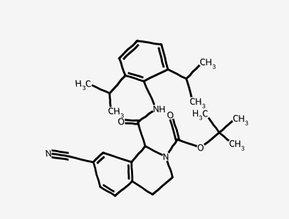 CC(C)c1cccc(C(C)C)c1NC(=O)C1c2cc(C#N)ccc2CCN1C(=O)OC(C)(C)C